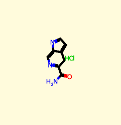 Cl.NC(=O)C1=NC=C2N=CC=C2C1